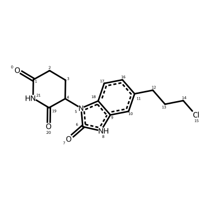 O=C1CCC(n2c(=O)[nH]c3cc(CCCCl)ccc32)C(=O)N1